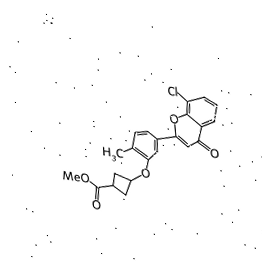 COC(=O)C1CC(Oc2cc(-c3cc(=O)c4cccc(Cl)c4o3)ccc2C)C1